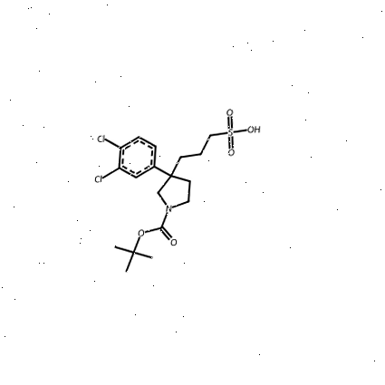 CC(C)(C)OC(=O)N1CCC(CCCS(=O)(=O)O)(c2ccc(Cl)c(Cl)c2)C1